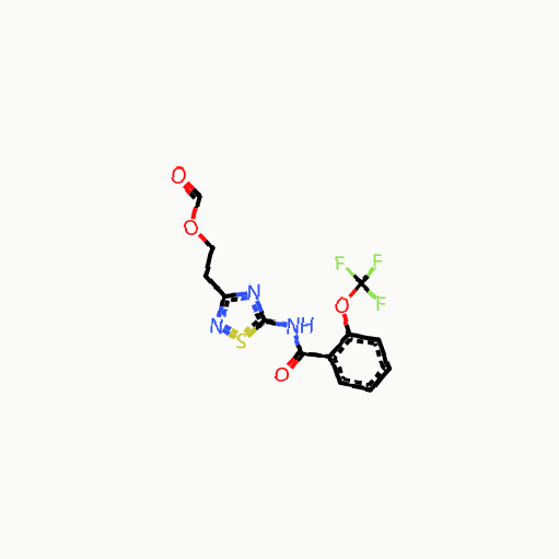 O=COCCc1nsc(NC(=O)c2ccccc2OC(F)(F)F)n1